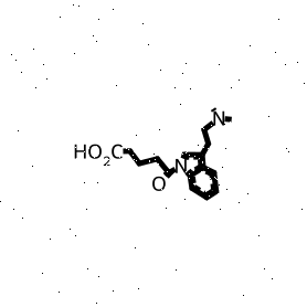 CN(C)CCc1cn(C(=O)CCCC(=O)O)c2ccccc12